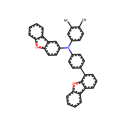 N#Cc1ccc(N(c2ccc(-c3cccc4c3oc3ccccc34)cc2)c2ccc3oc4ccccc4c3c2)cc1C#N